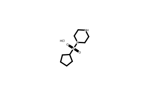 Cl.O=S(=O)(C1CCCC1)N1CCNCC1